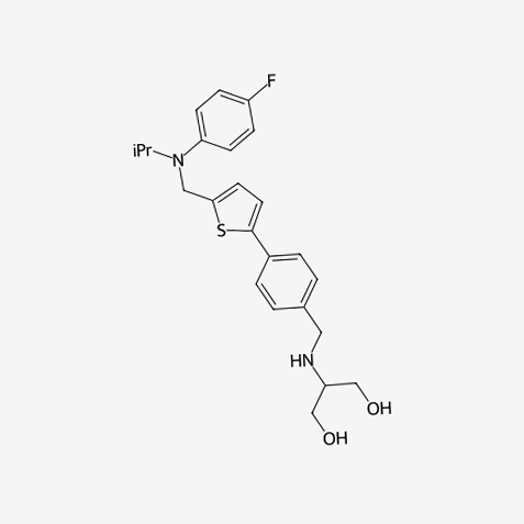 CC(C)N(Cc1ccc(-c2ccc(CNC(CO)CO)cc2)s1)c1ccc(F)cc1